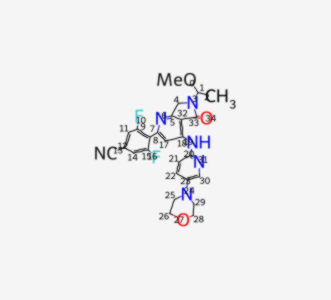 COC(C)N1Cc2nc(-c3c(F)cc(C#N)cc3F)cc(Nc3ccc(N4CCOCC4)cn3)c2C1=O